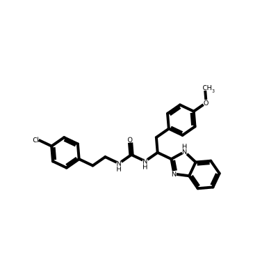 COc1ccc(CC(NC(=O)NCCc2ccc(Cl)cc2)c2nc3ccccc3[nH]2)cc1